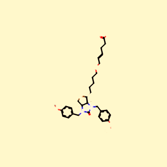 COc1ccc(CN2C(=O)N(Cc3ccc(OC)cc3)[C@H]3CS[C@@H](CCCCCOC/C=C/CCC(=O)O)[C@H]32)cc1